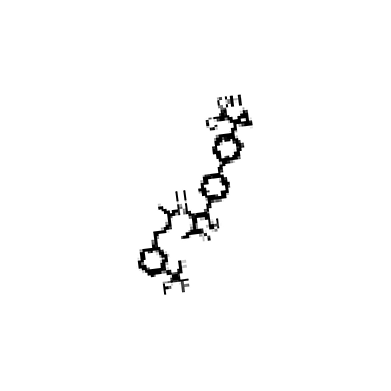 Cc1noc(-c2ccc(-c3ccc(C4(C(=O)O)CC4)cc3)cc2)c1NC(C)CCc1cccc(C(F)(F)F)c1